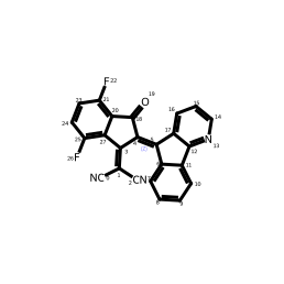 N#CC(C#N)=C1/C(=C2\c3ccccc3-c3ncccc32)C(=O)c2c(F)ccc(F)c21